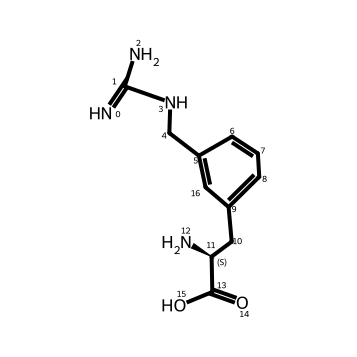 N=C(N)NCc1cccc(C[C@H](N)C(=O)O)c1